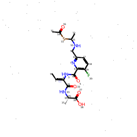 C/C=C(\NC(=O)c1nc(CNC(C)SC(C)=O)ccc1F)C(=O)N[C@@H](C)C(=O)O